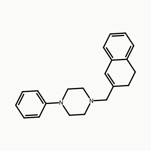 C1=C(CN2CCN(c3ccccc3)CC2)CCc2ccccc21